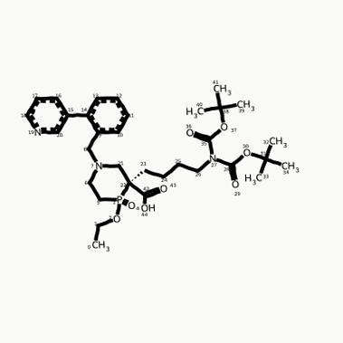 CCOP1(=O)CCN(Cc2ccccc2-c2cccnc2)C[C@@]1(CCCCN(C(=O)OC(C)(C)C)C(=O)OC(C)(C)C)C(=O)O